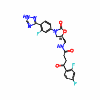 O=C(CCC(=O)c1ccc(F)cc1F)NC[C@H]1CN(c2ccc(-c3nc[nH]n3)c(F)c2)C(=O)O1